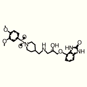 COc1ccc(S(=O)(=O)N2CCC(CNC[C@@H](O)COc3cccc4[nH]c(=O)[nH]c34)CC2)cc1OC